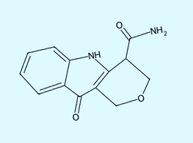 NC(=O)C1COCc2c1[nH]c1ccccc1c2=O